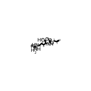 C=CCOC(=O)NC(CCCNC(=N)N)C(=O)O